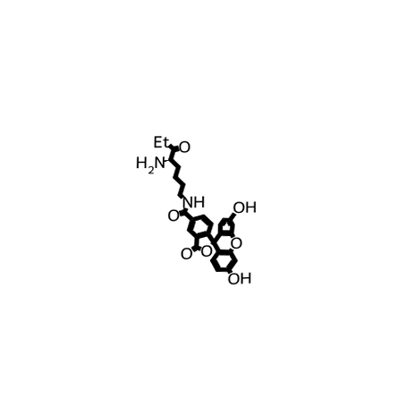 CCC(=O)[C@@H](N)CCCCNC(=O)c1ccc2c(c1)C(=O)OC21c2ccc(O)cc2Oc2cc(O)ccc21